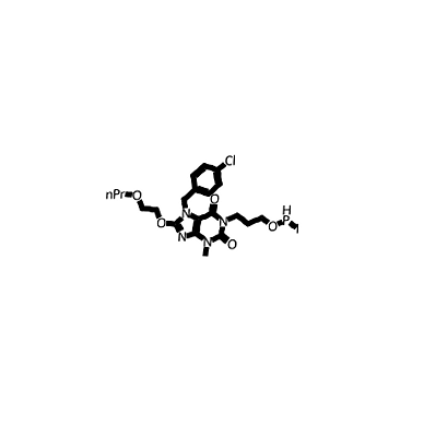 CCCOCCOc1nc2c(c(=O)n(CCCOPI)c(=O)n2C)n1Cc1ccc(Cl)cc1